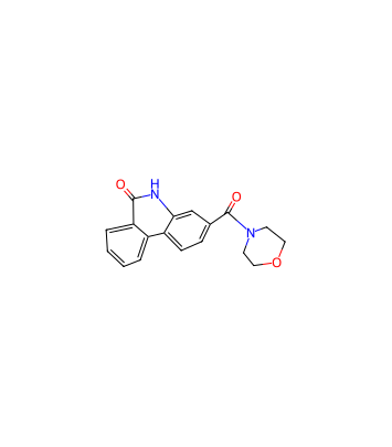 O=C(c1ccc2c(c1)[nH]c(=O)c1ccccc12)N1CCOCC1